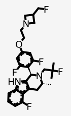 C[C@@H]1Cc2c([nH]c3cccc(F)c23)[C@@H](c2c(F)cc(OCCN3CC(CF)C3)cc2F)N1CC(C)(C)F